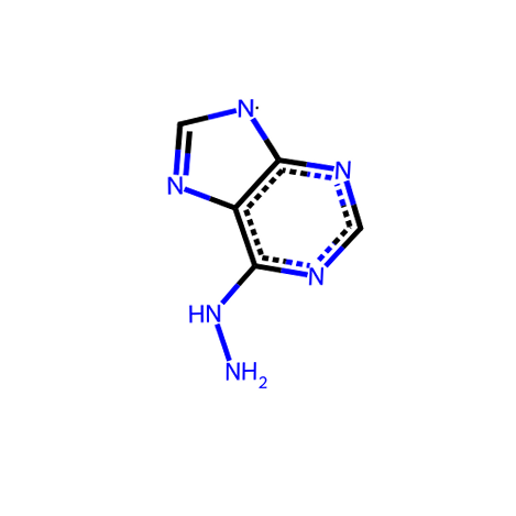 NNc1ncnc2c1N=C[N]2